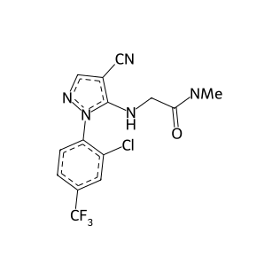 CNC(=O)CNc1c(C#N)cnn1-c1ccc(C(F)(F)F)cc1Cl